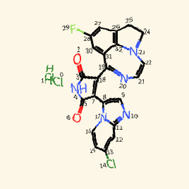 Cl.Cl.O=C1NC(=O)C(c2cnc3cc(Cl)ccn23)=C1C1=NC=CN2CCc3cc(F)cc1c32